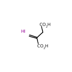 C=C(CC(=O)O)C(=O)O.I